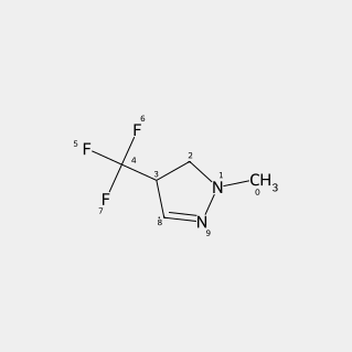 CN1CC(C(F)(F)F)[C]=N1